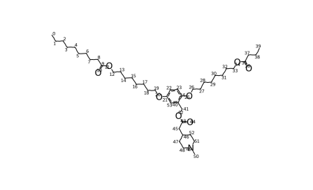 CCCCCCCCCC(=O)OCCCCCCCCOc1ccc(OCCCCCCCCOC(=O)CCC)c(COC(=O)CC2CCN(C)CC2)c1